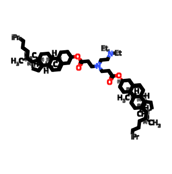 CCN(CC)CCN(CCC(=O)OC1CC[C@@]2(C)C(=CC[C@H]3[C@@H]4CC[C@H]([C@H](C)CCCC(C)C)[C@@]4(C)CC[C@@H]32)C1)CCC(=O)O[C@H]1CC[C@@]2(C)C(=CC[C@H]3[C@@H]4CC[C@H]([C@H](C)CCCC(C)C)[C@@]4(C)CC[C@@H]32)C1